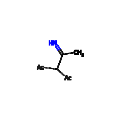 CC(=N)C(C(C)=O)C(C)=O